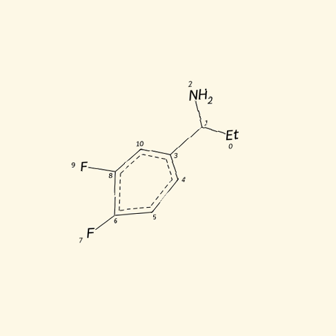 CCC(N)c1ccc(F)c(F)c1